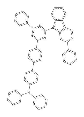 c1ccc(-c2ccc3c4ccccc4n(-c4nc(-c5ccccc5)nc(-c5ccc(-c6ccc(N(c7ccccc7)c7ccccc7)cc6)cc5)n4)c3c2)cc1